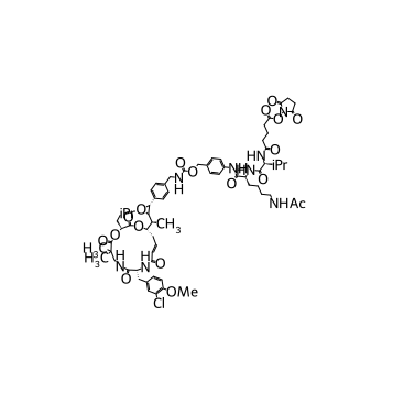 COc1ccc(C[C@H]2NC(=O)/C=C/C[C@@H]([C@H](C)[C@H]3O[C@@H]3c3ccc(CNC(=O)OCc4ccc(NC(=O)[C@H](CCCCNC(C)=O)NC(=O)[C@@H](NC(=O)CCCC(=O)ON5C(=O)CCC5=O)C(C)C)cc4)cc3)OC(=O)[C@H](CC(C)C)OC(=O)C(C)(C)CNC2=O)cc1Cl